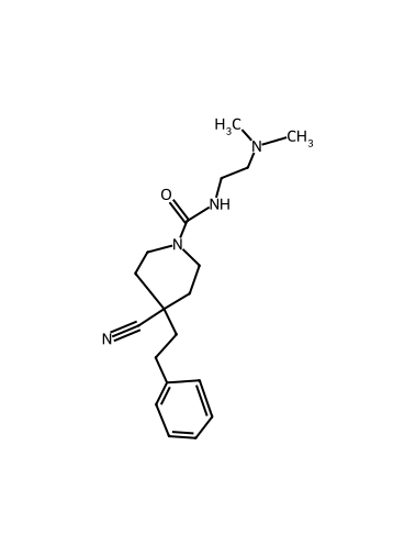 CN(C)CCNC(=O)N1CCC(C#N)(CCc2ccccc2)CC1